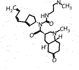 C=C/C=C\C1=C[C@@H](N(C(=O)NCCN(C)C)C(=O)[C@@H]2C[C@@H]3CC(=O)CC[C@H]3N(C)C2)CC1